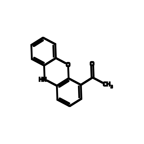 CC(=O)c1cccc2c1Oc1ccccc1N2